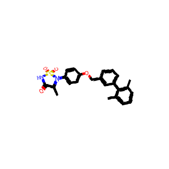 Cc1cccc(C)c1-c1cccc(COc2ccc(N3C(C)C(=O)NS3(=O)=O)cc2)c1